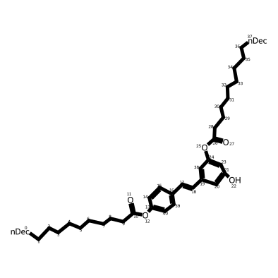 CCCCCCCCCCCCCCCCCCCC(=O)Oc1ccc(C=Cc2cc(O)cc(OC(=O)CCCCCCCCCCCCCCCCCCC)c2)cc1